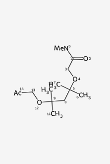 CNC(=O)COC(C)(C)CC(C)(C)OCC(C)=O